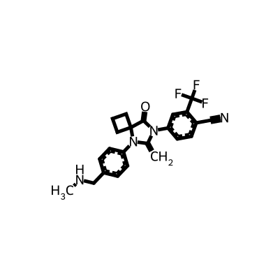 C=C1N(c2ccc(C#N)c(C(F)(F)F)c2)C(=O)C2(CCC2)N1c1ccc(CNC)cc1